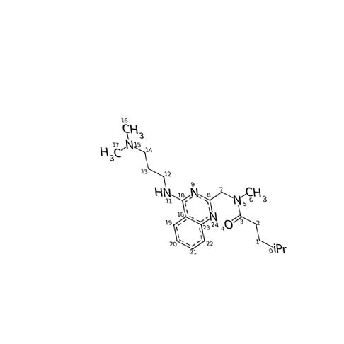 CC(C)CCC(=O)N(C)Cc1nc(NCCCN(C)C)c2ccccc2n1